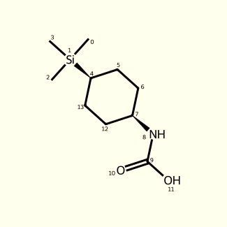 C[Si](C)(C)[C@H]1CC[C@@H](NC(=O)O)CC1